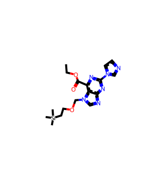 CCOC(=O)c1nc(-n2ccnc2)nc2ncn(COCC[Si](C)(C)C)c12